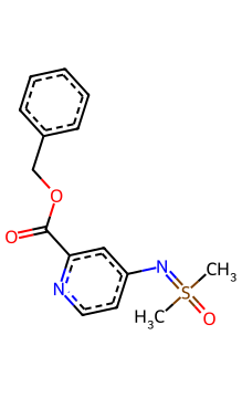 CS(C)(=O)=Nc1ccnc(C(=O)OCc2ccccc2)c1